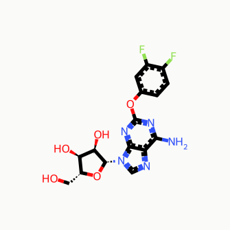 Nc1nc(Oc2ccc(F)c(F)c2)nc2c1ncn2[C@@H]1O[C@H](CO)[C@@H](O)[C@H]1O